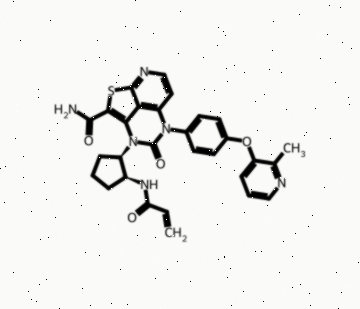 C=CC(=O)N[C@H]1CCC[C@H]1N1C(=O)N(c2ccc(Oc3cccnc3C)cc2)c2ccnc3sc(C(N)=O)c1c23